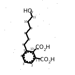 O=C(O)c1cccc(CCCCCCO)c1C(=O)O